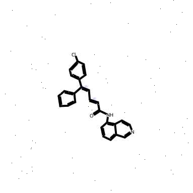 O=C(/C=C/C=C(\c1ccccc1)c1ccc(Cl)cc1)Nc1cccc2cnccc12